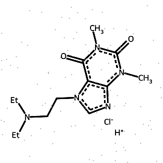 CCN(CC)CCn1cnc2c1c(=O)n(C)c(=O)n2C.[Cl-].[H+]